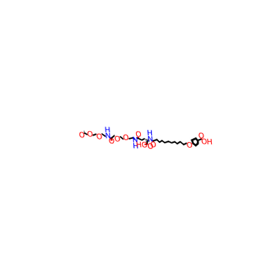 O=[C]COCCOCCNC(=O)COCCOCCNC(=O)CC[C@H](NC(=O)CCCCCCCCCCCOc1ccc(C(=O)O)cc1)C(=O)O